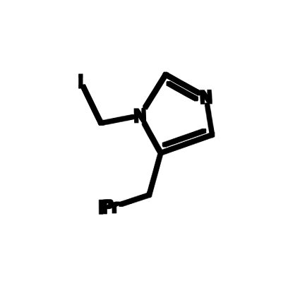 CC(C)Cc1cncn1CI